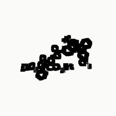 CCOC(=O)C(C(=O)OCC)(C(=O)OCOC(=O)c1ccc(NC(=O)c2ccccc2-c2ccc(C(F)(F)F)cc2)c(C(=O)N(C)C)c1)c1ccccc1